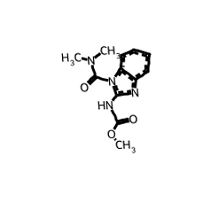 COC(=O)Nc1nc2ccccc2n1C(=O)N(C)C